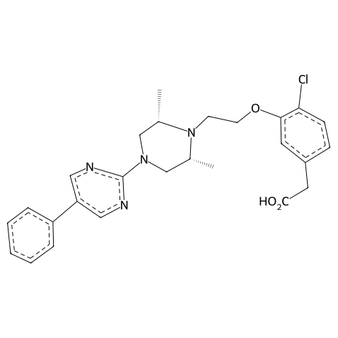 C[C@@H]1CN(c2ncc(-c3ccccc3)cn2)C[C@H](C)N1CCOc1cc(CC(=O)O)ccc1Cl